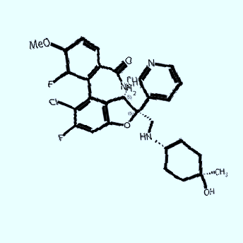 COC1C=CC(C(N)=O)=C(c2c(Cl)c(F)cc3c2[C@H](C)[C@@](CN[C@H]2CC[C@](C)(O)CC2)(c2cccnc2)O3)C1F